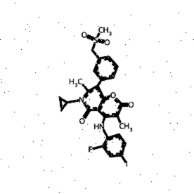 Cc1c(Nc2ccc(I)cc2F)c2c(=O)n(C3CC3)c(C)c(-c3cccc(CS(C)(=O)=O)c3)c2oc1=O